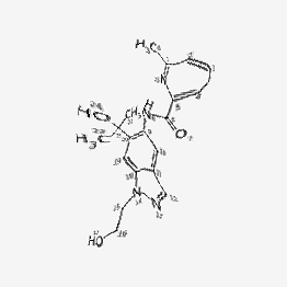 Cc1cccc(C(=O)Nc2cc3cnn(CCO)c3cc2C(C)(C)O)n1